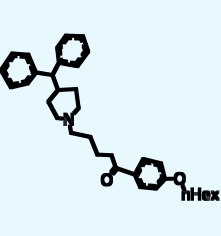 CCCCCCOc1ccc(C(=O)CCCCN2CCC(C(c3ccccc3)c3ccccc3)CC2)cc1